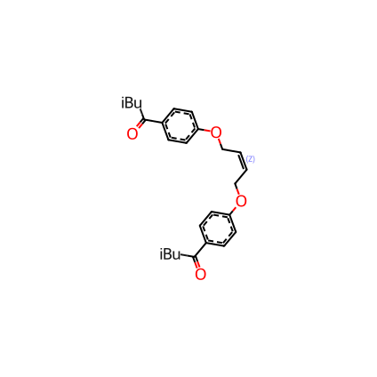 CCC(C)C(=O)c1ccc(OC/C=C\COc2ccc(C(=O)C(C)CC)cc2)cc1